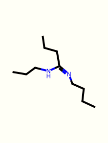 CCCCN=C(CCC)NCCC